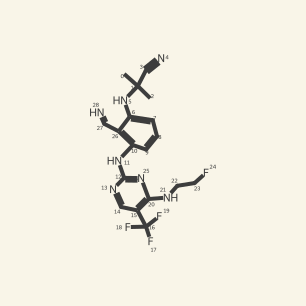 CC(C)(C#N)Nc1cccc(Nc2ncc(C(F)(F)F)c(NCCF)n2)c1C=N